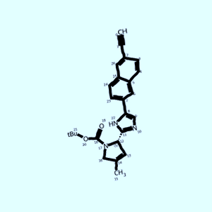 C#Cc1ccc2cc(-c3cnc([C@@H]4C=C(C)CN4C(=O)OC(C)(C)C)[nH]3)ccc2c1